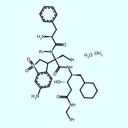 CC(=O)N(C(=O)[C@@H](N)Cc1ccccc1)[C@](CC(C)C)(C(=O)N[C@@H](CC1CCCCC1)[C@@H](O)CC(=O)NCC(C)C)C1CS(=O)(=O)c2cc(N)ccc21.O.O